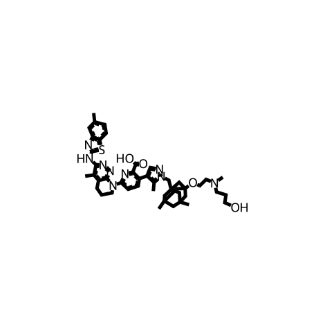 Cc1ccc2sc(Nc3nnc4c(c3C)CCCN4c3ccc(-c4cnn(CC56CC7(C)CC(C)(C5)CC(OCCN(C)CCCO)(C7)C6)c4C)c(C(=O)O)n3)nc2c1